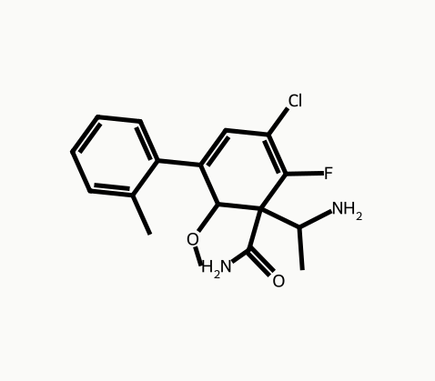 COC1C(c2ccccc2C)=CC(Cl)=C(F)C1(C(N)=O)C(C)N